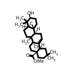 COC(=O)[C@]12CCC(C)(C)C[C@@H]1C1=CC[C@@H]3[C@@]4(C)CC[C@H](O)C(C)(C)[C@@H]4CC[C@@]3(C)[C@]1(C)CC2